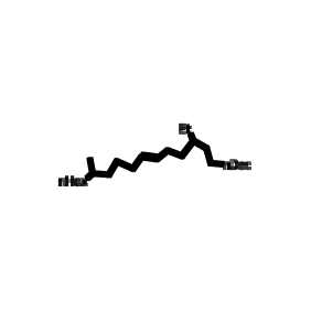 [CH2]CCCCCCCCCCCC(CC)CCC=CCCCC(C)CCCCC[CH2]